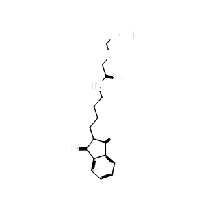 O=C(O)CSCC(=O)NCCCCC1C(=O)c2ccccc2C1=O